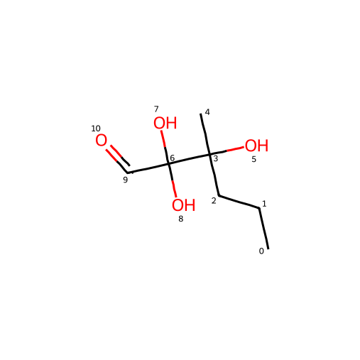 CCCC(C)(O)C(O)(O)[C]=O